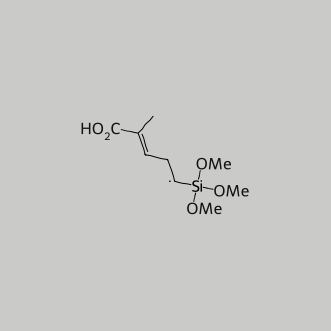 CO[Si]([CH]CC=C(C)C(=O)O)(OC)OC